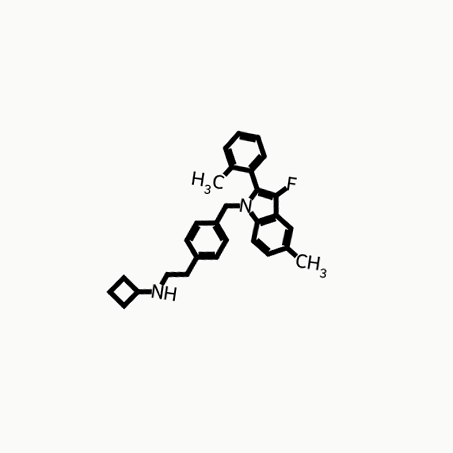 Cc1ccc2c(c1)c(F)c(-c1ccccc1C)n2Cc1ccc(CCNC2CCC2)cc1